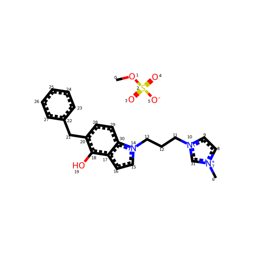 COS(=O)(=O)[O-].C[n+]1ccn(CCCn2ccc3c(O)c(Cc4ccccc4)ccc32)c1